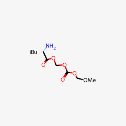 CC[C@H](C)[C@H](N)C(=O)OCOC(=O)OCOC